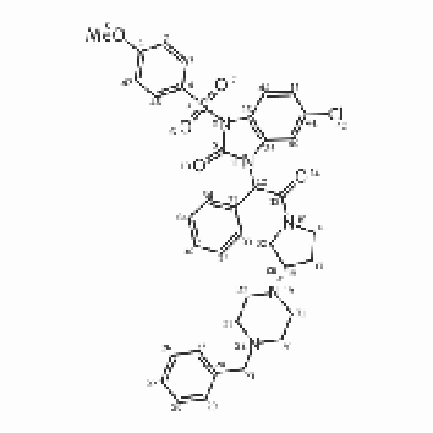 COc1ccc(S(=O)(=O)n2c(=O)n(C(C(=O)N3CC[C@H](N4CCN(Cc5ccccc5)CC4)C3)c3ccccc3)c3cc(Cl)ccc32)cc1